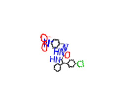 O=C(N/N=C\c1ccc([N+](=O)[O-])cc1)c1[nH]c2ccccc2c1-c1ccc(Cl)cc1